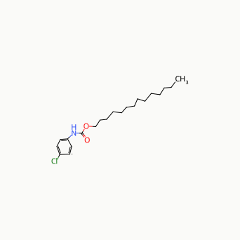 CCCCCCCCCCCCCCOC(=O)Nc1c[c]c(Cl)cc1